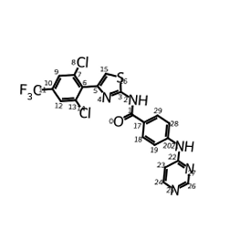 O=C(Nc1nc(-c2c(Cl)cc(C(F)(F)F)cc2Cl)cs1)c1ccc(Nc2ccncn2)cc1